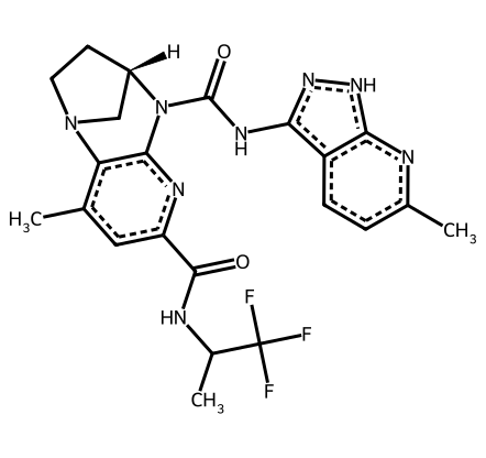 Cc1ccc2c(NC(=O)N3c4nc(C(=O)NC(C)C(F)(F)F)cc(C)c4N4CC[C@H]3C4)n[nH]c2n1